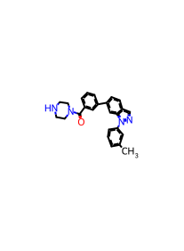 Cc1cccc(-n2ncc3ccc(-c4cccc(C(=O)N5CCNCC5)c4)cc32)c1